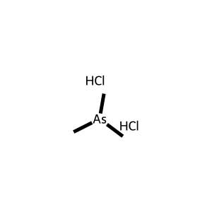 C[As](C)C.Cl.Cl